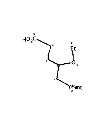 CCCCCCC(CCC(=O)O)OCC